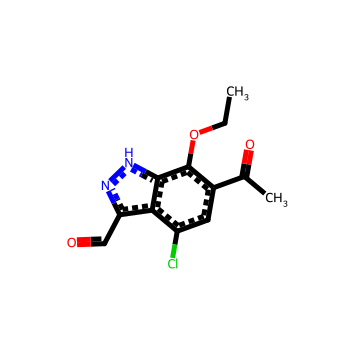 CCOc1c(C(C)=O)cc(Cl)c2c(C=O)n[nH]c12